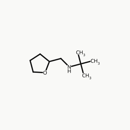 CC(C)(C)NCC1CCCO1